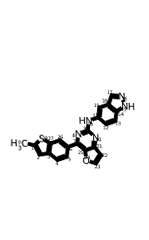 Cc1cc2ccc(-c3nc(Nc4ccc5[nH]ncc5c4)nc4ccoc34)cc2s1